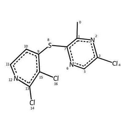 Cc1nc(Cl)cnc1Sc1ccnc(Cl)c1Cl